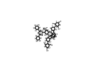 Cc1cc(C)c(-c2ccc3c(c2)c2ccccc2n3-c2cc(C#N)c(-c3nc(-c4ccccc4)cc(-c4ccccc4)n3)cc2-n2c3ccccc3c3cc(-c4c(C)cc(C)cc4C)ccc32)c(C)c1